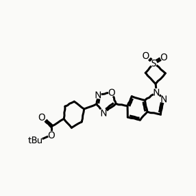 CC(C)(C)OC(=O)C1CCC(c2noc(-c3ccc4cnn(C5CS(=O)(=O)C5)c4c3)n2)CC1